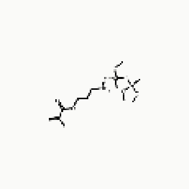 C=C(C)C(=O)OCCC[SiH2]O[Si](C)(OC)O[Si](C)(OC)OC